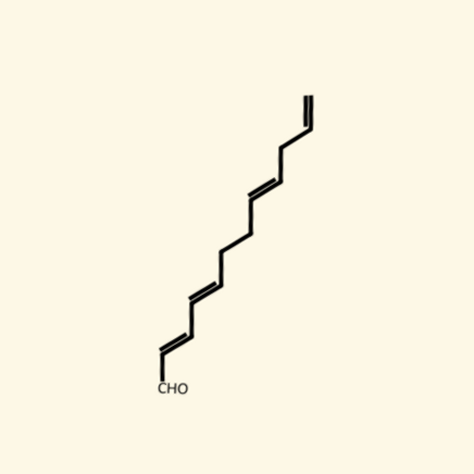 C=CCC=CCCC=CC=CC=O